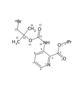 CC(C)OC(=O)c1ncccc1NC(=O)OC(C)(C)CBr